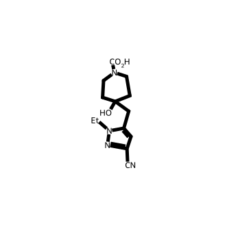 CCn1nc(C#N)cc1CC1(O)CCN(C(=O)O)CC1